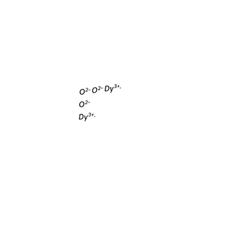 [Dy+3].[Dy+3].[O-2].[O-2].[O-2]